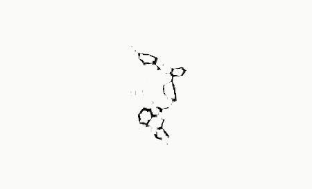 CCn1cncc1Cn1c(CN2CCC(c3cccc4c3OC(C)(c3ccc(Cl)cc3F)O4)CC2)nc2ccccc21.N